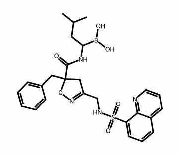 CC(C)CC(NC(=O)C1(Cc2ccccc2)CC(CNS(=O)(=O)c2cccc3cccnc23)=NO1)B(O)O